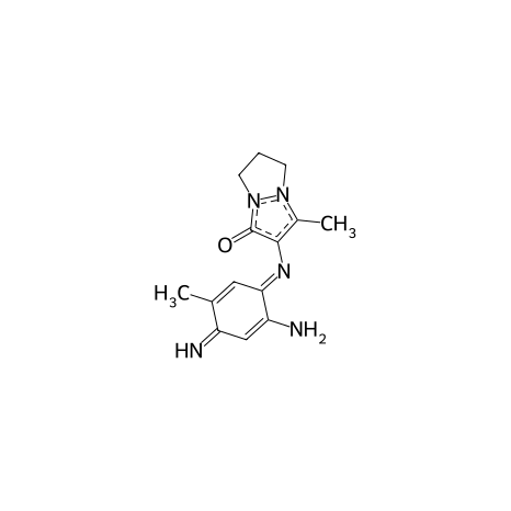 CC1=CC(=Nc2c(C)n3n(c2=O)CCC3)C(N)=CC1=N